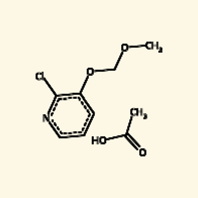 CC(=O)O.COCOc1cccnc1Cl